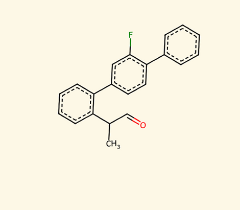 CC(C=O)c1ccccc1-c1ccc(-c2ccccc2)c(F)c1